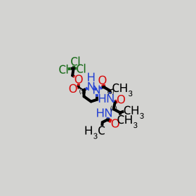 CCC(=O)N[C@H](C(=O)N[C@@H](C)C(=O)N1CCC[C@@H](C(=O)OCC(Cl)(Cl)Cl)N1)C(C)C